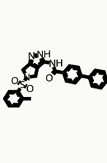 Cc1ccccc1S(=O)(=O)N1Cc2n[nH]c(NC(=O)c3ccc(-c4ccccc4)cc3)c2C1